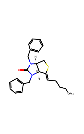 COCCCC=C1SC[C@H]2[C@@H]1N(Cc1ccccc1)C(=O)N2Cc1ccccc1